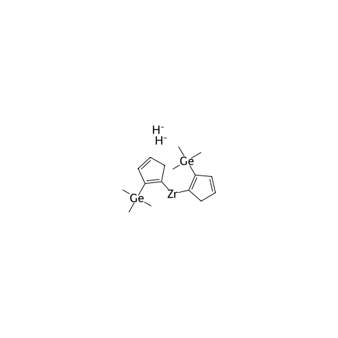 [CH3][Ge]([CH3])([CH3])[C]1=[C]([Zr][C]2=[C]([Ge]([CH3])([CH3])[CH3])C=CC2)CC=C1.[H-].[H-]